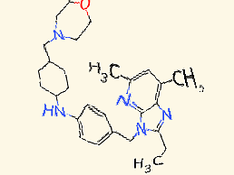 CCc1nc2c(C)cc(C)nc2n1Cc1ccc(NC2CCC(CN3CCOCC3)CC2)cc1